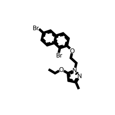 CCOc1cc(C)nn1CCOc1ccc2cc(Br)ccc2c1Br